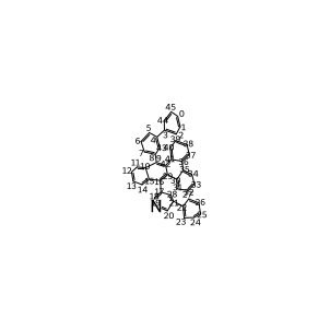 c1ccc(-c2cccc(-c3c4ccccc4c(-c4cncc(-c5ccccc5)c4)c4c5ccccc5c5ccccc5c34)c2)cc1